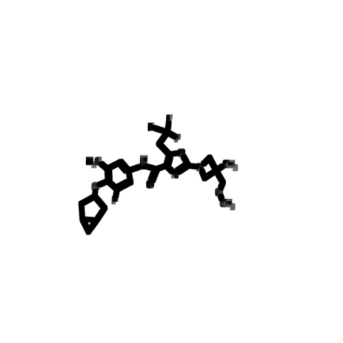 COCC1(C)CN(c2nc(C(=O)Nc3cc(C)c(OC4CC5CC5C4)c(F)c3)c(CC(F)(F)F)o2)C1